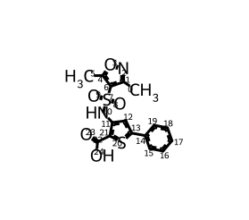 Cc1noc(C)c1S(=O)(=O)Nc1cc(-c2ccccc2)sc1C(=O)O